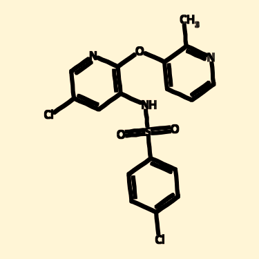 Cc1ncccc1Oc1ncc(Cl)cc1NS(=O)(=O)c1ccc(Cl)cc1